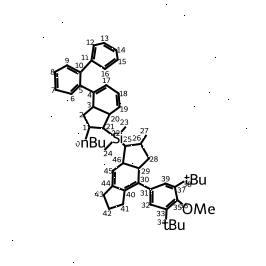 CCCCC1CC2C(c3ccccc3-c3ccccc3)=CC=CC2C1[Si](C)(C)C1C(C)CC2C(c3cc(C(C)(C)C)c(OC)c(C(C)(C)C)c3)=C3CCCC3=CC21